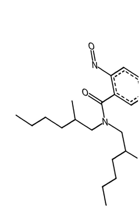 CCCCC(C)CN(CC(C)CCCC)C(=O)c1ccccc1N=O